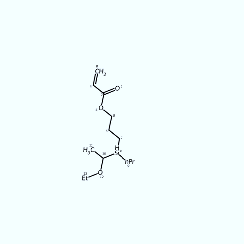 C=CC(=O)OCCC[SiH](CCC)C(C)OCC